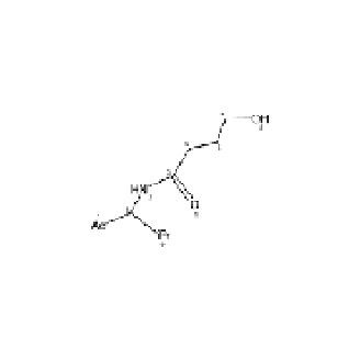 CC(=O)C(NC(=O)CCCO)C(C)C